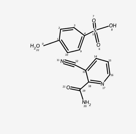 Cc1ccc(S(=O)(=O)O)cc1.N#Cc1cccnc1C(N)=O.O